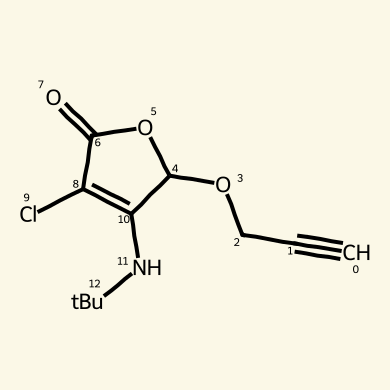 C#CCOC1OC(=O)C(Cl)=C1NC(C)(C)C